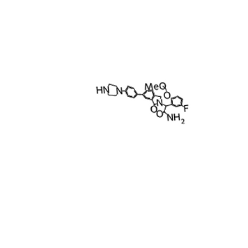 COCOc1ccc(F)cc1C(C(N)=O)N1Cc2ccc(-c3ccc(N4CCNCC4)cc3)cc2C1=O